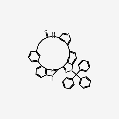 O=C1CCc2cccc(c2)-c2cccc3[nH]c(nc23)-c2nn(C(c3ccccc3)(c3ccccc3)c3ccccc3)c3ccc(cc23)-c2cncc(c2)N1